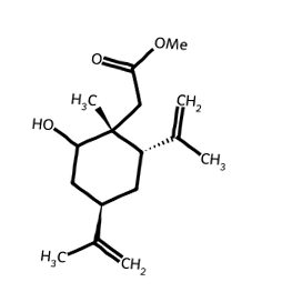 C=C(C)[C@H]1CC(O)[C@](C)(CC(=O)OC)[C@H](C(=C)C)C1